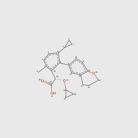 Cc1ccc(C2CC2)c(-c2ccc3c(c2)CCCO3)c1[C@H](OC1CC1)C(=O)O